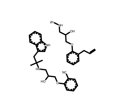 C=CCc1ccccc1OCC(O)CNC(C)C.CC(C)(Cc1c[nH]c2ccccc12)NCC(O)COc1ccccc1C#N